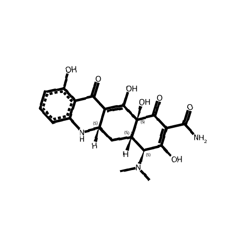 CN(C)[C@@H]1C(O)=C(C(N)=O)C(=O)[C@@]2(O)C(O)=C3C(=O)c4c(O)cccc4N[C@H]3C[C@@H]12